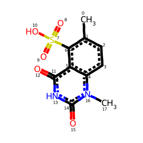 Cc1ccc2c(c1S(=O)(=O)O)c(=O)[nH]c(=O)n2C